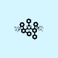 C[Si]1(C)c2ccccc2-c2c(-c3nc(-c4ccccc4)nc(-c4c(-c5ccccc5)ccc5c4-c4ccccc4[Si]5(C)C)n3)cc(-c3ccccc3)cc21